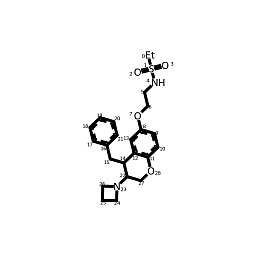 CCS(=O)(=O)NCCOc1ccc2c(c1)C(Cc1ccccc1)C(N1CCC1)CO2